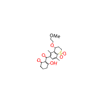 COCCOC1CCS(=O)(=O)c2c(C)cc(C(=O)C3=C(O)CCCC3=O)c(C)c21